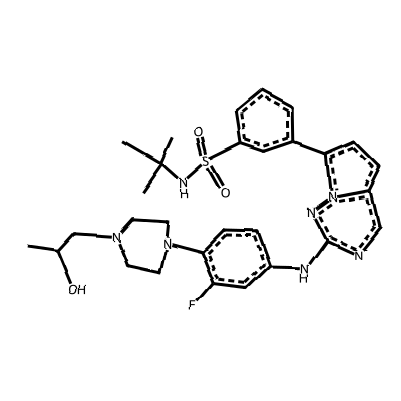 CC(O)CN1CCN(c2ccc(Nc3ncc4ccc(-c5cccc(S(=O)(=O)NC(C)(C)C)c5)n4n3)cc2F)CC1